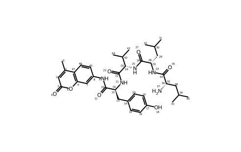 Cc1cc(=O)oc2cc(NC(=O)[C@H](Cc3ccc(O)cc3)NC(=O)[C@@H](NC(=O)[C@H](CC(C)C)NC(=O)[C@@H](N)CC(C)C)C(C)C)ccc12